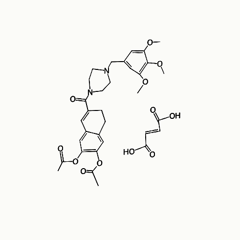 COc1cc(CN2CCN(C(=O)C3=Cc4cc(OC(C)=O)c(OC(C)=O)cc4CC3)CC2)cc(OC)c1OC.O=C(O)/C=C/C(=O)O